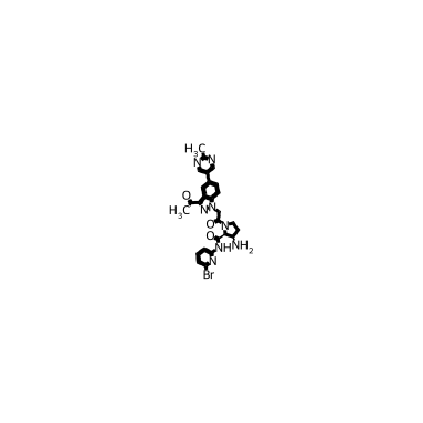 CC(=O)c1nn(CC(=O)N2CC[C@@H](N)[C@H]2C(=O)Nc2cccc(Br)n2)c2ccc(-c3cnc(C)nc3)cc12